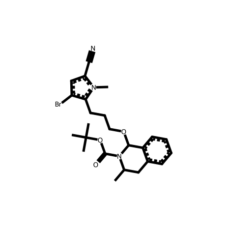 CC1Cc2ccccc2C(OCCCc2c(Br)cc(C#N)n2C)N1C(=O)OC(C)(C)C